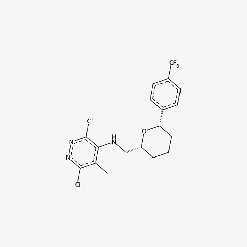 Cc1c(Cl)nnc(Cl)c1NC[C@H]1CCC[C@@H](c2ccc(C(F)(F)F)cc2)O1